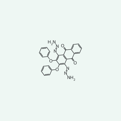 NN=Nc1c(Oc2ccccc2)c(Oc2ccccc2)c(N=NN)c2c1C(=O)c1ccccc1C2=O